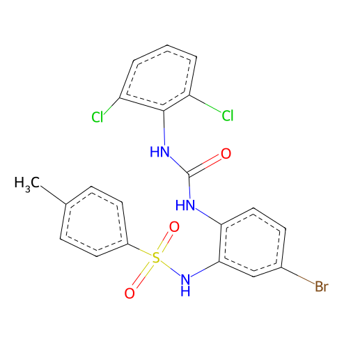 Cc1ccc(S(=O)(=O)Nc2cc(Br)ccc2NC(=O)Nc2c(Cl)cccc2Cl)cc1